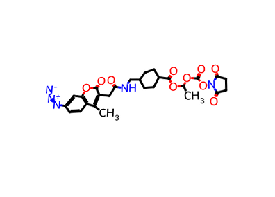 Cc1c(CC(=O)NCC2CCC(C(=O)OC(C)OC(=O)ON3C(=O)CCC3=O)CC2)c(=O)oc2cc(N=[N+]=[N-])ccc12